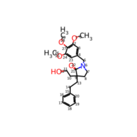 COc1cc(CN2CCC(CCO)(CCc3ccccc3)C2=O)cc(OC)c1OC